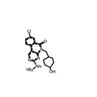 CCCCNc1ncc2c3ccc(Cl)cc3c(=O)n(CC3CCC(O)CC3)c2n1